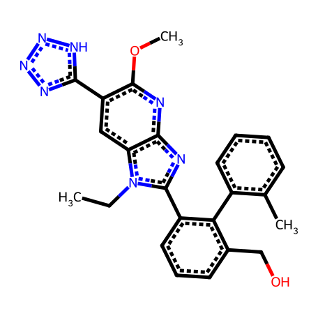 CCn1c(-c2cccc(CO)c2-c2ccccc2C)nc2nc(OC)c(-c3nnn[nH]3)cc21